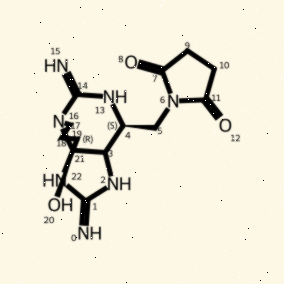 N=C1NC2[C@H](CN3C(=O)CCC3=O)NC(=N)N3CC[C@@H](O)C23N1